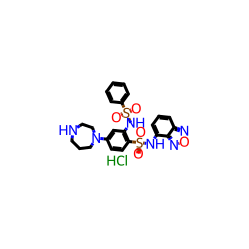 Cl.O=S(=O)(Nc1cc(N2CCCNCC2)ccc1S(=O)(=O)Nc1cccc2nonc12)c1ccccc1